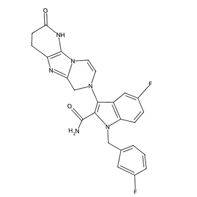 NC(=O)c1c(N2C=Cn3c(nc4c3NC(=O)CC4)C2)c2cc(F)ccc2n1Cc1cccc(F)c1